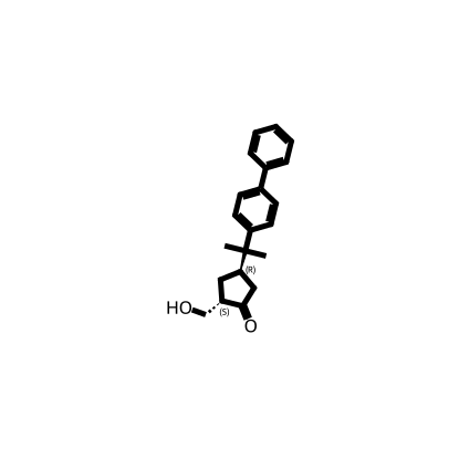 CC(C)(c1ccc(-c2ccccc2)cc1)[C@H]1CC(=O)[C@H](CO)C1